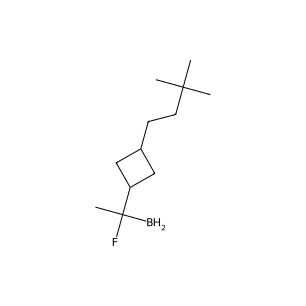 BC(C)(F)C1CC(CCC(C)(C)C)C1